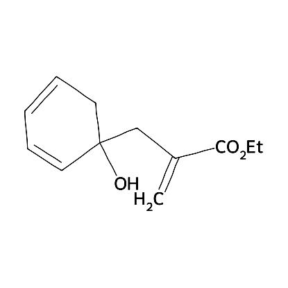 C=C(CC1(O)C=CC=CC1)C(=O)OCC